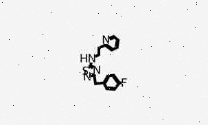 Fc1ccc(Cc2nsc(NCCc3ccccn3)n2)cc1